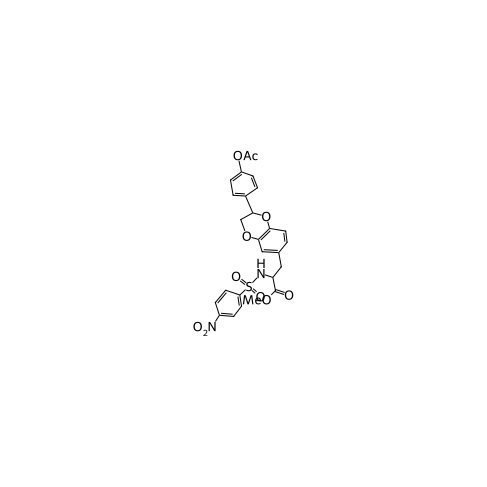 COC(=O)C(Cc1ccc2c(c1)OCC(c1ccc(OC(C)=O)cc1)O2)NS(=O)(=O)c1ccc([N+](=O)[O-])cc1